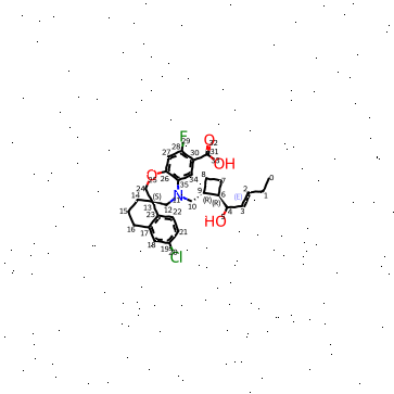 CC/C=C/C(O)[C@@H]1CC[C@H]1CN1C[C@@]2(CCCc3cc(Cl)ccc32)COc2cc(F)c(C(=O)O)cc21